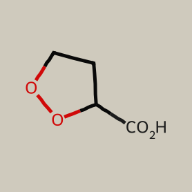 O=C(O)C1CCOO1